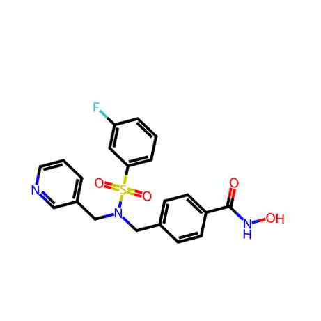 O=C(NO)c1ccc(CN(Cc2cccnc2)S(=O)(=O)c2cccc(F)c2)cc1